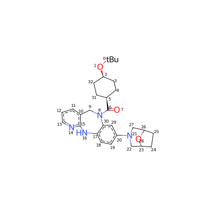 CC(C)(C)O[C@H]1CC[C@@H](C(=O)N2Cc3cccnc3Nc3ccc(N4CC5CCC(C4)O5)cc32)CC1